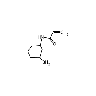 BC1CCCC(NC(=O)C=C)C1